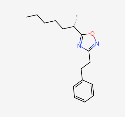 CCCCC[C@H](C)c1nc(CCc2ccccc2)no1